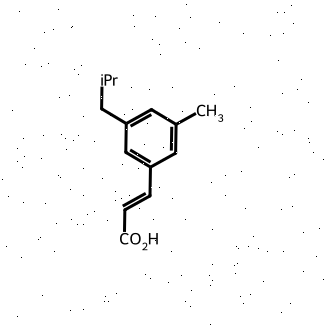 Cc1cc(C=CC(=O)O)cc(CC(C)C)c1